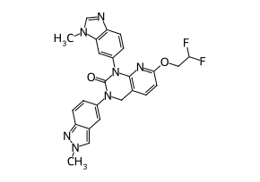 Cn1cc2cc(N3Cc4ccc(OCC(F)F)nc4N(c4ccc5ncn(C)c5c4)C3=O)ccc2n1